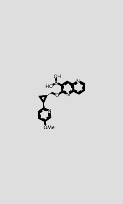 COc1ccc([C@H]2C[C@@H]2COc2nc3cccnc3cc2B(O)O)nc1